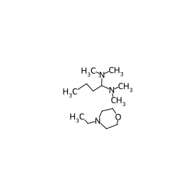 CCCC(N(C)C)N(C)C.CCN1CCOCC1